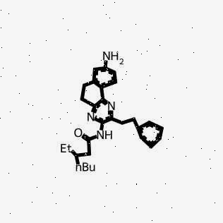 CCCCC(CC)CC(=O)Nc1nc2c(nc1CCc1ccccc1)-c1ccc(N)cc1CC2